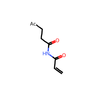 C=CC(=O)NC(=O)CCC(C)=O